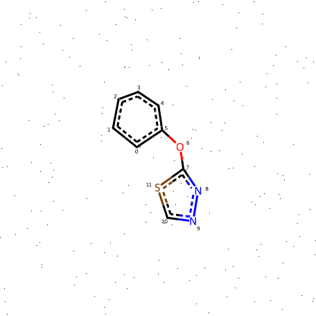 [c]1ccccc1Oc1nncs1